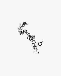 Cc1ccc(-c2cc(C(F)(F)F)nn2-c2ccc(S(=O)(=O)NC(=O)OC[C@@H]3CCN3n3on3OC(C)OC(=O)OC(C)(C)C)cc2)cc1